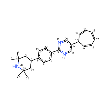 CC1(C)CC(c2ccc(-c3ncc(C4C=CC=CC=C4)cn3)cc2)CC(C)(C)N1